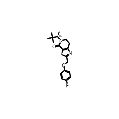 C[C@@H](N1CCc2nc(COc3ccc(F)cc3)sc2C1=O)C(C)(C)C